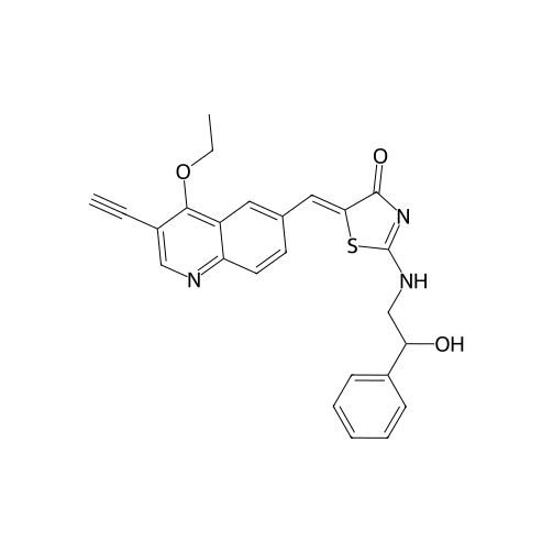 C#Cc1cnc2ccc(/C=C3\SC(NCC(O)c4ccccc4)=NC3=O)cc2c1OCC